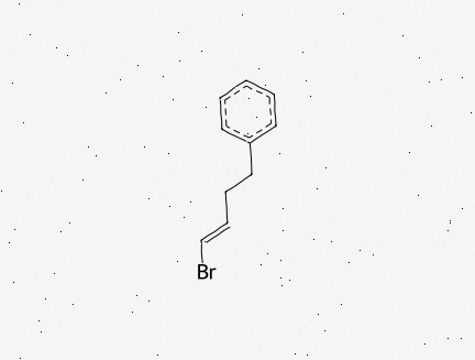 Br/C=C/CCc1ccccc1